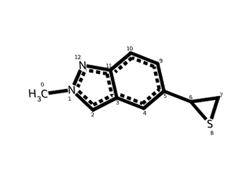 Cn1cc2cc(C3CS3)ccc2n1